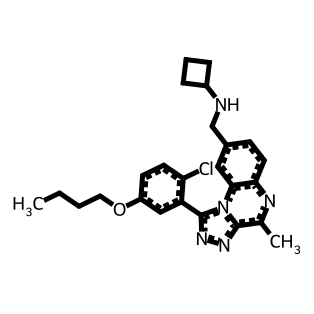 CCCCOc1ccc(Cl)c(-c2nnc3c(C)nc4ccc(CNC5CCC5)cc4n23)c1